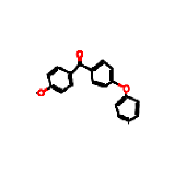 [O]c1ccc(C(=O)c2ccc(Oc3cc[c]cc3)cc2)cc1